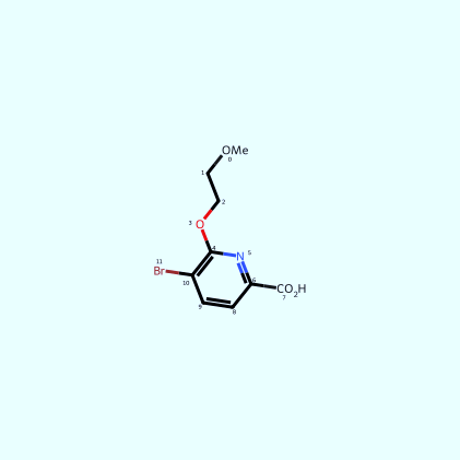 COCCOc1nc(C(=O)O)ccc1Br